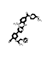 COc1ccc(C(=O)N2CCC(OC)CC2)cc1Nc1ncc(-c2ccc(C#N)c(OC(C)Cn3cnnn3)c2)cn1